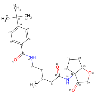 CC(CCNC(=O)c1ccc(C(C)(C)C)cc1)CC(=O)NC12CCCC1OCC2=O